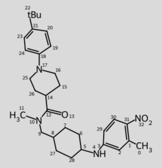 Cc1cc(NC2CCC(CN(C)C(=O)C3CCN(c4ccc(C(C)(C)C)cc4)CC3)CC2)ccc1[N+](=O)[O-]